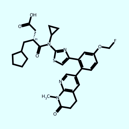 CN1C(=O)CCc2cc(-c3ccc(OCF)cc3-c3csc(N(C(=O)[C@@H](CC(=O)O)CC4CCCC4)C4CC4)n3)cnc21